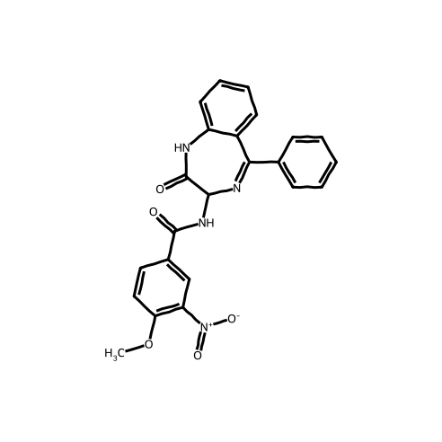 COc1ccc(C(=O)NC2N=C(c3ccccc3)c3ccccc3NC2=O)cc1[N+](=O)[O-]